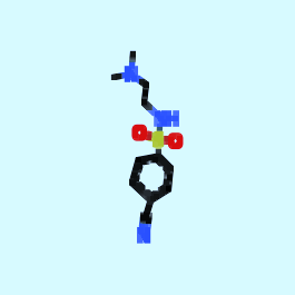 CN(C)CCNS(=O)(=O)c1ccc(C#N)cc1